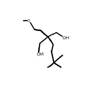 COCCC(CO)(CO)CCC(C)(C)C